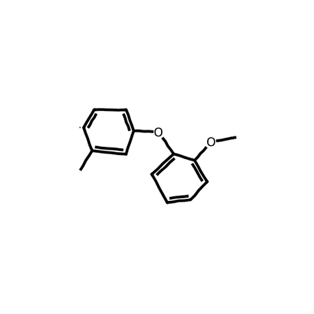 COc1ccccc1Oc1cc[c]c(C)c1